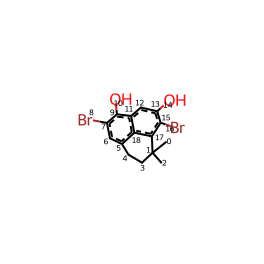 CC1(C)CCc2cc(Br)c(O)c3cc(O)c(Br)c1c23